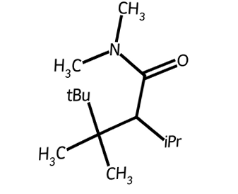 CC(C)C(C(=O)N(C)C)C(C)(C)C(C)(C)C